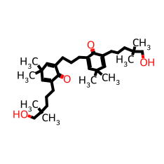 CC1(C)C=C(CCCC2=CC(C)(C)C=C(CCCC(C)(C)CO)C2=O)C(=O)C(CCCC(C)(C)CO)=C1